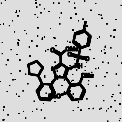 COC(=O)c1nn(-c2ccccc2C2CCCC2)c(-c2c(OC)cccc2OC)c1NS(=O)(=O)c1ccc(C)cc1